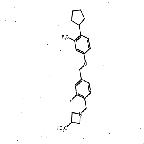 O=C(O)C1CN(Cc2ccc(COc3ccc(C4CCCC4)c(C(F)(F)F)c3)cc2F)C1